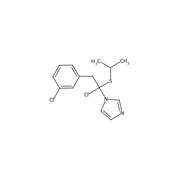 CC(C)SC(Cl)(Cc1cccc(Cl)c1)n1ccnc1